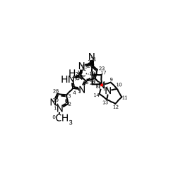 Cn1cc(-c2nc3c(N4CC5CCC(C4)N5[C@H]4C[C@](C)(C#N)C4)ccnc3[nH]2)cn1